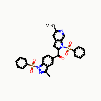 COc1cc2cc(C(=O)c3ccc4c(c3)c(C)nn4S(=O)(=O)c3ccccc3)n(S(=O)(=O)c3ccccc3)c2cn1